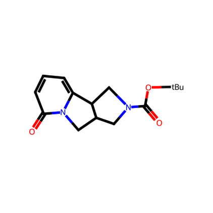 CC(C)(C)OC(=O)N1CC2Cn3c(cccc3=O)C2C1